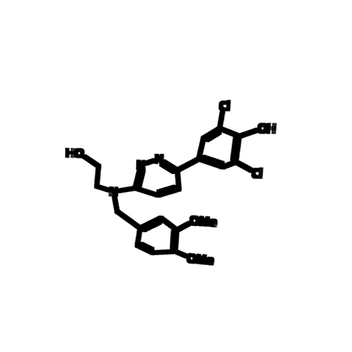 COc1ccc(CN(CCO)c2ccc(-c3cc(Cl)c(O)c(Cl)c3)nn2)cc1OC